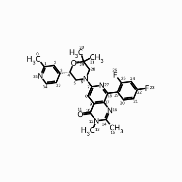 Cc1cc([C@H]2CN(c3cc4c(=O)n(C)c(C)nc4c(-c4ccc(F)cc4F)n3)CC(C)(C)O2)ccn1